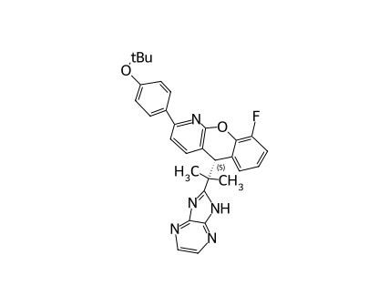 CC(C)(C)Oc1ccc(-c2ccc3c(n2)Oc2c(F)cccc2[C@@H]3C(C)(C)c2nc3nccnc3[nH]2)cc1